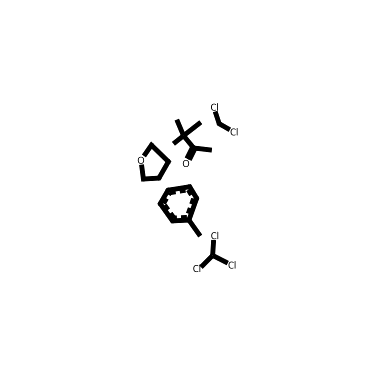 C1CCOC1.CC(=O)C(C)(C)C.Cc1ccccc1.ClC(Cl)Cl.ClCCl